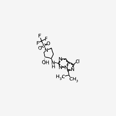 CC(C)c1nc(Cl)c2cnc(N[C@@H]3CCN(S(=O)(=O)C(F)(F)F)C[C@H]3O)nn12